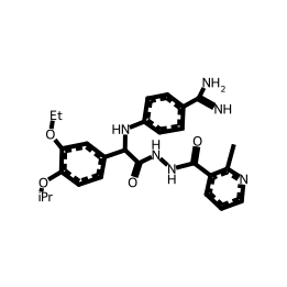 CCOc1cc(C(Nc2ccc(C(=N)N)cc2)C(=O)NNC(=O)c2cccnc2C)ccc1OC(C)C